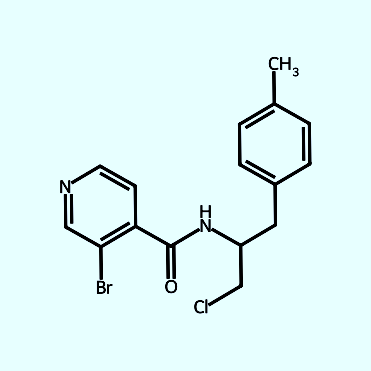 Cc1ccc(CC(CCl)NC(=O)c2ccncc2Br)cc1